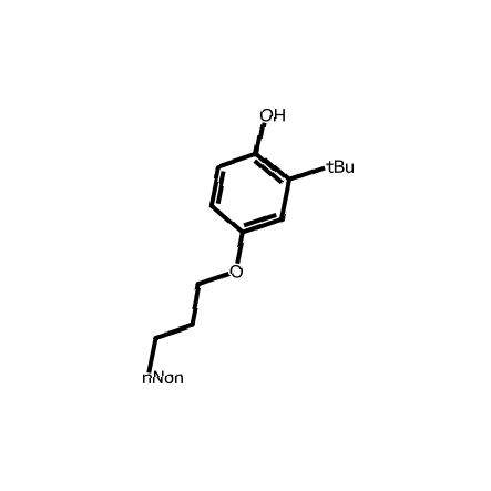 CCCCCCCCCCCCOc1ccc(O)c(C(C)(C)C)c1